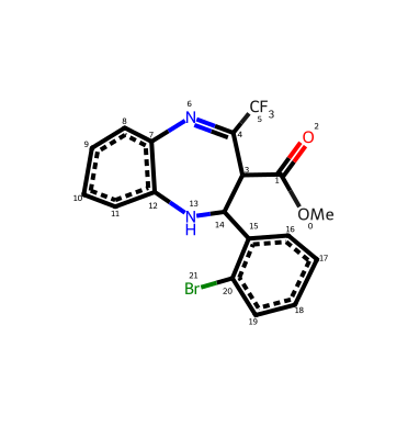 COC(=O)C1C(C(F)(F)F)=Nc2ccccc2NC1c1ccccc1Br